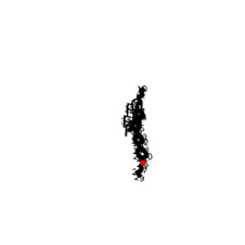 CCCCCOc1ccc2c(c1F)-c1c-2cc(C2CCC(C3CCC(CCCCC)CC3)CC2)c(F)c1F